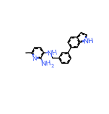 Cc1ccc(NCc2cccc(-c3ccc4cc[nH]c4c3)c2)c(N)n1